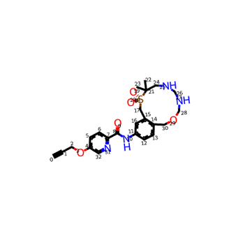 C#CCOc1ccc(C(=O)Nc2ccc3c(c2)CS(=O)(=O)C(C)(C)CNCNCOC3)nc1